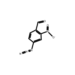 [N-]=[N+]=Nc1ccc([C]=O)c([N+](=O)[O-])c1